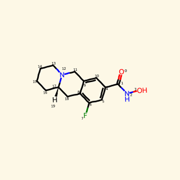 O=C(NO)c1cc(F)c2c(c1)CN1CCCC[C@H]1C2